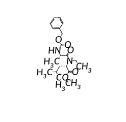 CCN(C(=O)[C@H](C)NC(=O)OCc1ccccc1)[C@@H](CC(C)C)C(=O)OC